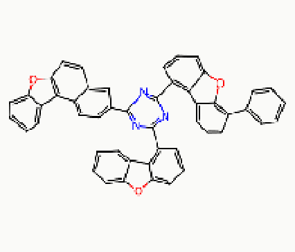 c1ccc(-c2cccc3c2oc2cccc(-c4nc(-c5ccc6c(ccc7oc8ccccc8c76)c5)nc(-c5cccc6oc7ccccc7c56)n4)c23)cc1